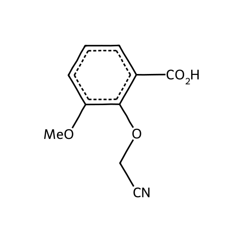 COc1cccc(C(=O)O)c1OCC#N